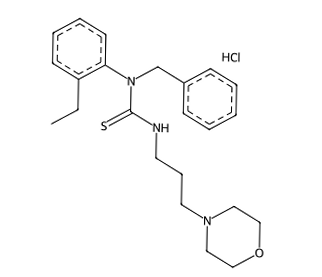 CCc1ccccc1N(Cc1ccccc1)C(=S)NCCCN1CCOCC1.Cl